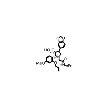 C=CCOc1cc(OC)ccc1[C@@H]1[C@@H](C(=O)O)C(c2ccc3c(c2)OCO3)CN1CC(=O)NCCC